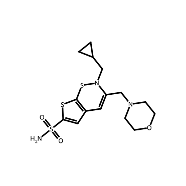 NS(=O)(=O)c1cc2c(s1)SN(CC1CC1)C(CN1CCOCC1)=C2